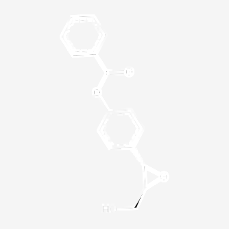 O=C(Oc1ccc([C@@H]2O[C@H]2CO)cc1)c1ccccc1